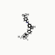 CC(C)(C)OC(=O)CN1CCC(c2n[nH]c3cc(/C=C/C4CCN(C(=O)O)CC4)ccc23)CC1